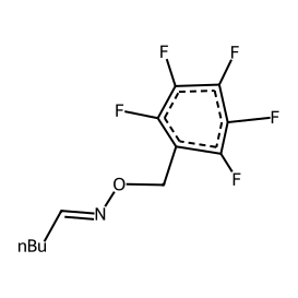 CCCCC=NOCc1c(F)c(F)c(F)c(F)c1F